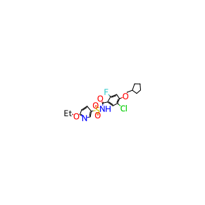 CCOc1ccc(S(=O)(=O)NC(=O)c2cc(Cl)c(OCC3CCCC3)cc2F)cn1